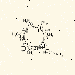 CC(C)C[C@@H]1NC(=O)[C@@H](Cc2ccccc2)NC(=O)[C@H](CCN)NC(=O)[C@@H](NC(=O)[C@@H](N)CCCCN)CCNC(=O)[C@H]([C@@H](C)O)NC(=O)[C@H](CCN)NC(=O)[C@H](CCN)NC1=O